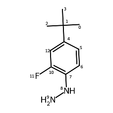 CC(C)(C)c1ccc(NN)c(F)c1